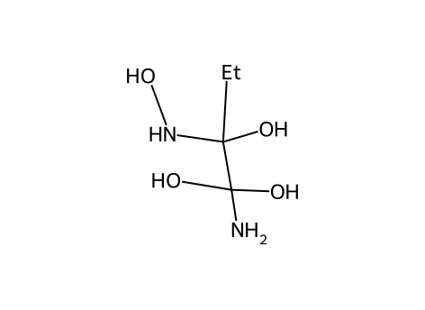 CCC(O)(NO)C(N)(O)O